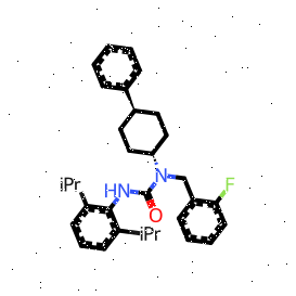 CC(C)c1cccc(C(C)C)c1NC(=O)N(Cc1ccccc1F)[C@H]1CC[C@H](c2ccccc2)CC1